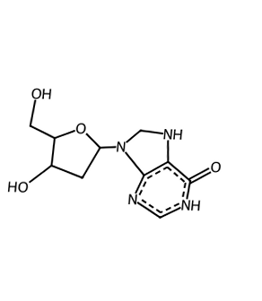 O=c1[nH]cnc2c1NCN2C1CC(O)C(CO)O1